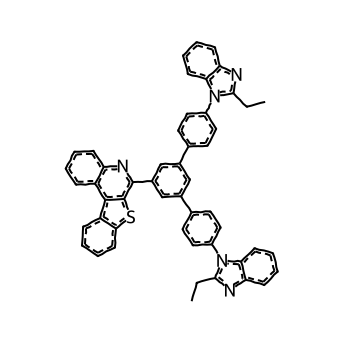 CCc1nc2ccccc2n1-c1ccc(-c2cc(-c3ccc(-n4c(CC)nc5ccccc54)cc3)cc(-c3nc4ccccc4c4c3sc3ccccc34)c2)cc1